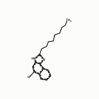 CCCCCCCCCc1nc2c(cc(Cl)c3ccccc32)[nH]1